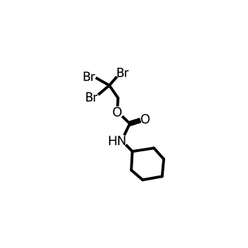 O=C(NC1CCCCC1)OCC(Br)(Br)Br